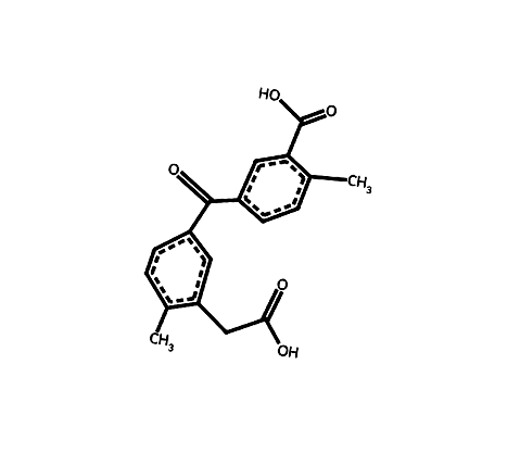 Cc1ccc(C(=O)c2ccc(C)c(C(=O)O)c2)cc1CC(=O)O